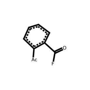 CC(=O)c1ccccc1C(=O)F